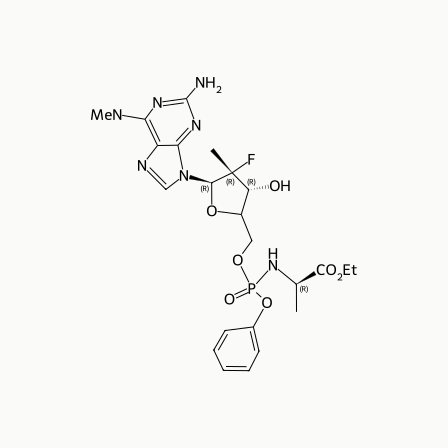 CCOC(=O)[C@@H](C)NP(=O)(OCC1O[C@@H](n2cnc3c(NC)nc(N)nc32)[C@](C)(F)[C@@H]1O)Oc1ccccc1